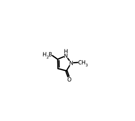 Bc1cc(=O)n(C)[nH]1